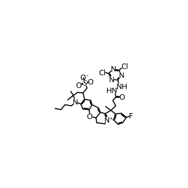 CCCCN1c2cc3c(cc2C(CS(=O)(=O)[O-])CC1(C)C)C=C1C2=[N+](CCC1O3)c1ccc(F)cc1C2(C)CCC(=O)NNc1nc(Cl)nc(Cl)n1